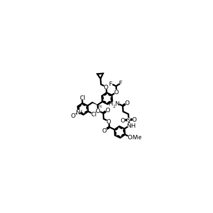 COc1ccc(C(=O)OCC(=O)O[C@@H](Cc2c(Cl)c[n+]([O-])cc2Cl)c2ccc(OC(F)F)c(OCC3CC3)c2)cc1NS(=O)(=O)CCC(N)=O